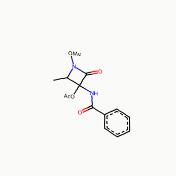 CON1C(=O)C(NC(=O)c2ccccc2)(OC(C)=O)C1C